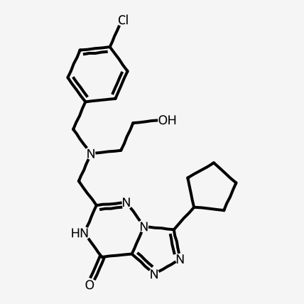 O=c1[nH]c(CN(CCO)Cc2ccc(Cl)cc2)nn2c(C3CCCC3)nnc12